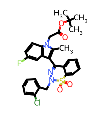 Cc1c(C2=NN(Cc3ccccc3Cl)S(=O)(=O)c3ccccc32)c2cc(F)ccc2n1CC(=O)OC(C)(C)C